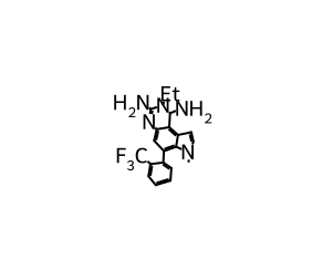 CCN1C(N)=Nc2cc(-c3ccccc3C(F)(F)F)c3c(ccn3C)c2C1N